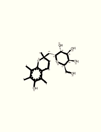 Cc1c(C)c2c(c(C)c1O)CCC(C)(C[C@H]1O[C@H](CO)[C@H](O)[C@H](O)[C@H]1O)O2